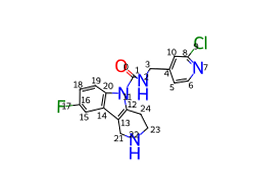 O=C(NCc1ccnc(Cl)c1)n1c2c(c3cc(F)ccc31)CNCC2